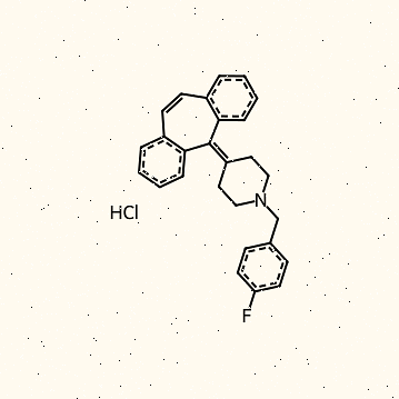 Cl.Fc1ccc(CN2CCC(=C3c4ccccc4C=Cc4ccccc43)CC2)cc1